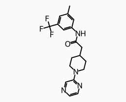 Cc1cc(NC(=O)CC2CCN(c3cnccn3)CC2)cc(C(F)(F)F)c1